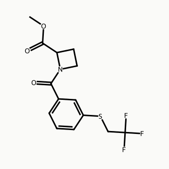 COC(=O)C1CCN1C(=O)c1cccc(SCC(F)(F)F)c1